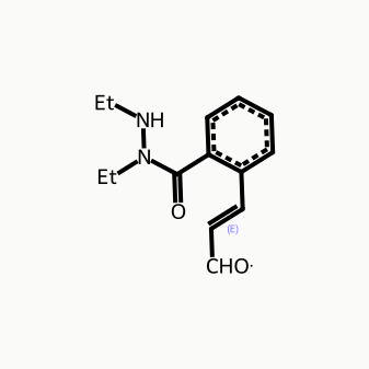 CCNN(CC)C(=O)c1ccccc1/C=C/[C]=O